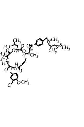 COc1ccc(C[C@H]2NC(=O)C=CC[C@@H]([C@H](C)[C@H]3O[C@@H]3c3ccc(CN(C)CC(C)CSSC)cc3)OC(=O)[C@H](CC(C)C)OC(=O)C(C)(C)CNC2=O)cc1Cl